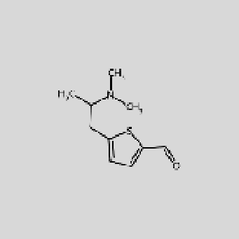 CC(Cc1ccc(C=O)s1)N(C)C